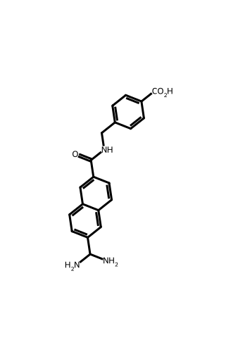 NC(N)c1ccc2cc(C(=O)NCc3ccc(C(=O)O)cc3)ccc2c1